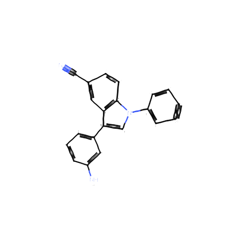 N#Cc1ccc2c(c1)c(-c1cccc(N)c1)cn2-c1cc#ccc1